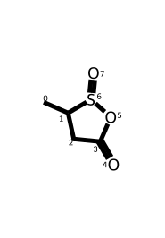 CC1CC(=O)OS1=O